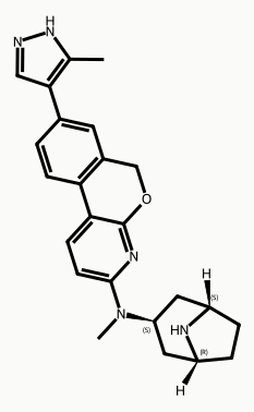 Cc1[nH]ncc1-c1ccc2c(c1)COc1nc(N(C)[C@@H]3C[C@H]4CC[C@@H](C3)N4)ccc1-2